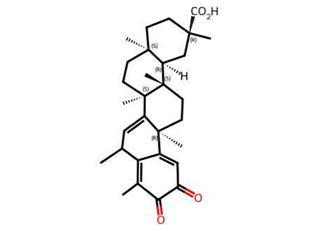 CC1=C2C(=CC(=O)C1=O)[C@]1(C)CC[C@@]3(C)[C@@H]4C[C@](C)(C(=O)O)CC[C@]4(C)CC[C@]3(C)C1=CC2C